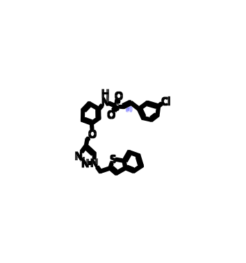 O=S(=O)(/C=C/c1cccc(Cl)c1)Nc1cccc(OCc2cn(Cc3cc4ccccc4s3)nn2)c1